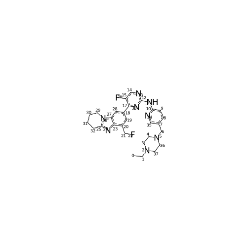 CCN1CCN(Cc2ccc(Nc3ncc(F)c(-c4cc(CF)c5nc6n(c5c4)CCCC6)n3)nc2)CC1